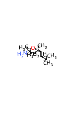 C[SiH](C)CC[Si](C)(C)O[Si](C)(C)N